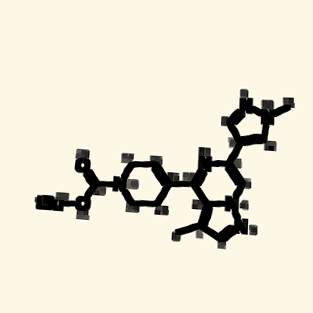 Cc1cnn2cc(-c3cnn(C)c3)nc(C3=CCN(C(=O)OC(C)(C)C)CC3)c12